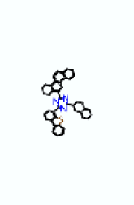 c1ccc2cc(-c3nc(-c4cc5c6ccccc6ccc5c5ccccc45)nc(-c4cccc5c4sc4ccccc45)n3)ccc2c1